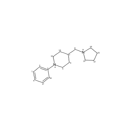 c1ccc(N2CCC(CN3CCCC3)CC2)cc1